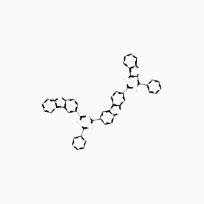 c1ccc(-c2nc(-c3ccc4oc5cc(-c6nc(-c7ccccc7)c7sc8ccccc8c7n6)ccc5c4c3)nc(-c3ccc4sc5ccccc5c4c3)n2)cc1